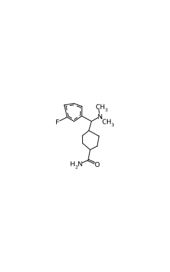 CN(C)C(c1cccc(F)c1)C1CCC(C(N)=O)CC1